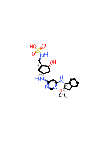 CO[C@H]1Cc2ccccc2[C@H]1Nc1cc(N[C@@H]2C[C@@H](CNS(=O)(=O)O)[C@@H](O)C2)ncn1